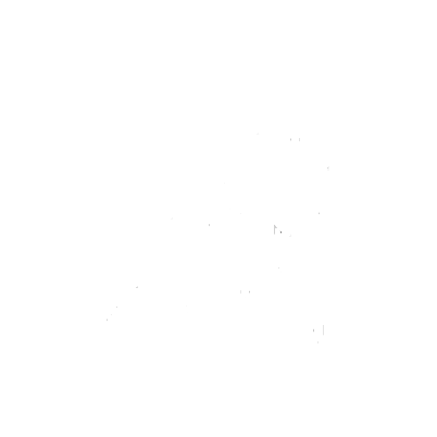 O=C(CCl)N1CCOc2ccccc2C1c1ccc(Cl)cc1